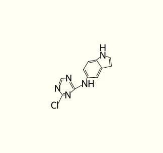 Clc1ncnc(Nc2ccc3[nH]ccc3c2)n1